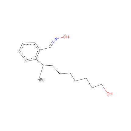 CCCCC(CCCCCCCO)c1ccccc1C=NO